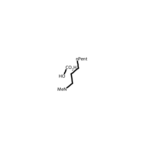 CCCCCCCCNC.O=C(O)O